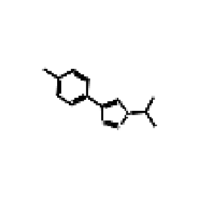 Cc1ccc(-c2cn(C(C)C)nn2)cc1